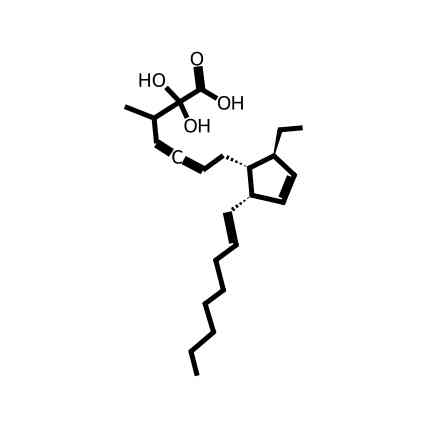 CCCCCCC=C[C@H]1C=C[C@H](CC)[C@H]1CC=C=CC(C)C(O)(O)C(=O)O